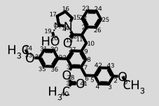 COc1ccc(Cc2cc(CC(C(=O)N3CCC[C@H]3CO)c3ccccc3)cc(-c3ccc(OC)cc3)c2OC(C)=O)cc1